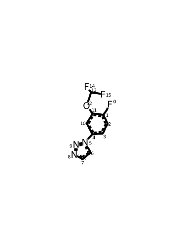 Fc1ccc(-n2c[c]nn2)cc1OC(F)F